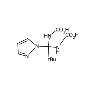 CC(C)(C)C(NC(=O)O)(NC(=O)O)n1cccn1